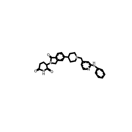 O=C1CCC(N2Cc3cc(C4CCN(Cc5ccnc(Nc6ccccc6)c5)CC4)ccc3C2=O)C(=O)N1